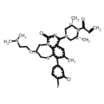 C=CC(=O)N1[C@H](C)CN(c2nc(=O)n3c4c(c(-c5ccc(F)c(Cl)c5)c(C)cc24)SC[C@@H](OCCN(C)C)C3)C[C@@H]1C